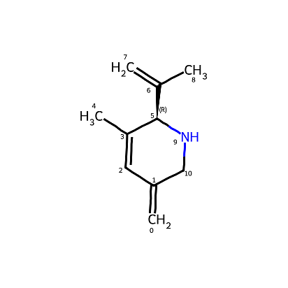 C=C1C=C(C)[C@@H](C(=C)C)NC1